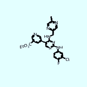 CCOC(=O)c1cncc(-c2cnc(Nc3ccc(F)c(Cl)c3)nc2NCc2cnc(C)cn2)c1